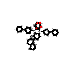 c1ccc(-c2ccc(N(c3ccccc3)c3ccc4c(oc5ccc6ccccc6c54)c3N(c3ccccc3)c3ccc(-c4ccccc4)cc3)cc2)cc1